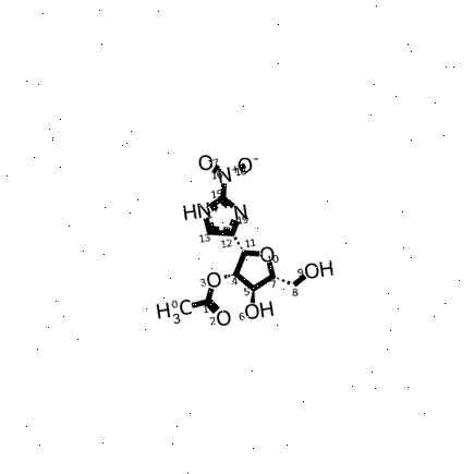 CC(=O)O[C@H]1[C@H](O)[C@@H](CO)O[C@H]1c1c[nH]c([N+](=O)[O-])n1